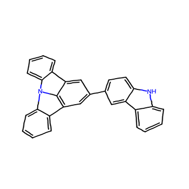 c1ccc2c(c1)[nH]c1ccc(-c3cc4c5ccccc5n5c6ccccc6c(c3)c45)cc12